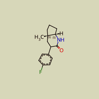 C[C@@]12CCC[C@@H]1NC(=O)C(c1ccc(F)cc1)C2